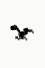 CC1(C)O[C@@H]2[C@@H](CCCCc3cnc4ccccc4c3)C[C@@H](n3ccc4c(N)ncnc43)[C@@H]2O1